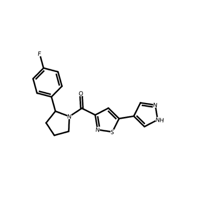 O=C(c1cc(-c2cn[nH]c2)sn1)N1CCCC1c1ccc(F)cc1